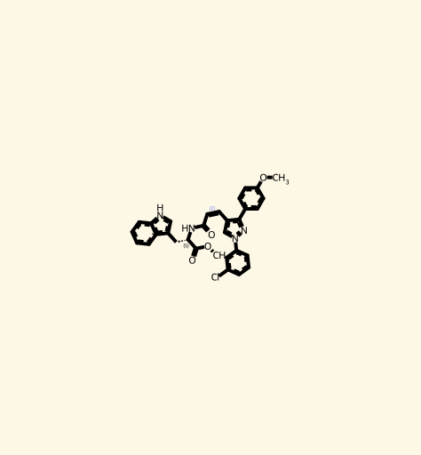 COC(=O)[C@H](Cc1c[nH]c2ccccc12)NC(=O)/C=C\c1cn(-c2cccc(Cl)c2)nc1-c1ccc(OC)cc1